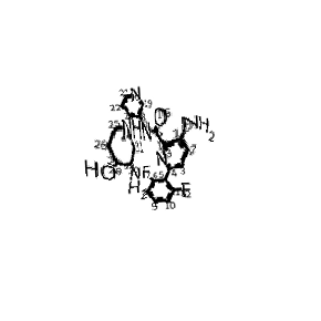 Nc1ccc(-c2c(F)cccc2F)nc1C(=O)Nc1cnccc1N1CC[C@H](O)[C@@H](N)C1